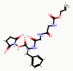 C=CCOC(=O)NCC(=O)NCC(=O)N[C@@H](Cc1ccccc1)C(=O)ON1C(=O)CCC1=O